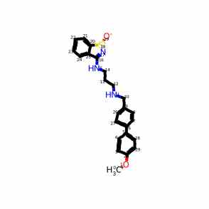 COc1ccc(-c2ccc(CNCCCNc3n[s+]([O-])c4ccccc34)cc2)cc1